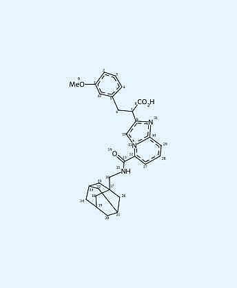 COc1cccc(CC(C(=O)O)c2cn3c(C(=O)NCC45CC6CC(CC(C6)C4)C5)cccc3n2)c1